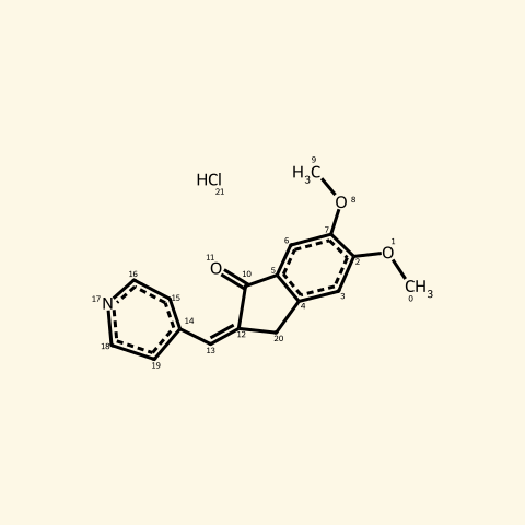 COc1cc2c(cc1OC)C(=O)/C(=C\c1ccncc1)C2.Cl